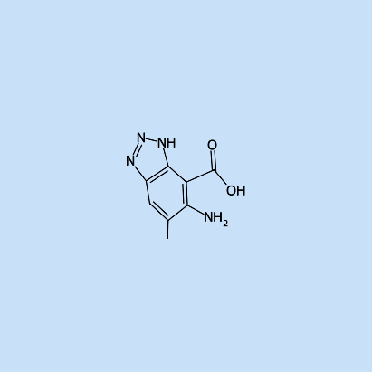 Cc1cc2nn[nH]c2c(C(=O)O)c1N